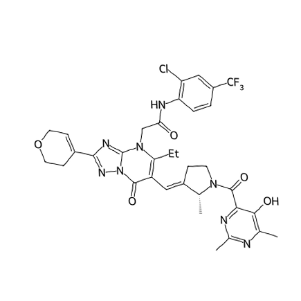 CCc1c(/C=C2\CCN(C(=O)c3nc(C)nc(C)c3O)[C@@H]2C)c(=O)n2nc(C3=CCOCC3)nc2n1CC(=O)Nc1ccc(C(F)(F)F)cc1Cl